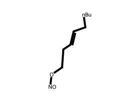 CCCCCC=CCCON=O